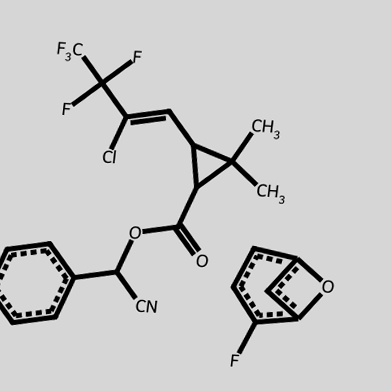 CC1(C)C(C=C(Cl)C(F)(F)C(F)(F)F)C1C(=O)OC(C#N)c1ccccc1.Fc1ccc2cc1O2